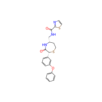 O=C(NC[C@@H]1CCS[C@H](c2cccc(Oc3ccccc3)c2)C(=O)N1)c1nccs1